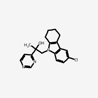 CC(O)(Cn1c2c(c3cc(Cl)ccc31)CCCC2)c1ccncn1